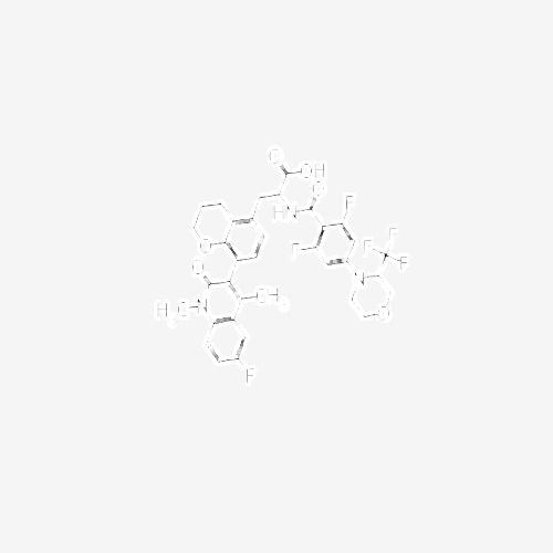 Cc1c(-c2ccc(CC(NC(=O)c3c(F)cc(N4CCOC[C@@H]4C(F)(F)F)cc3F)C(=O)O)c3c2OCCC3)c(=O)n(C)c2ccc(F)cc12